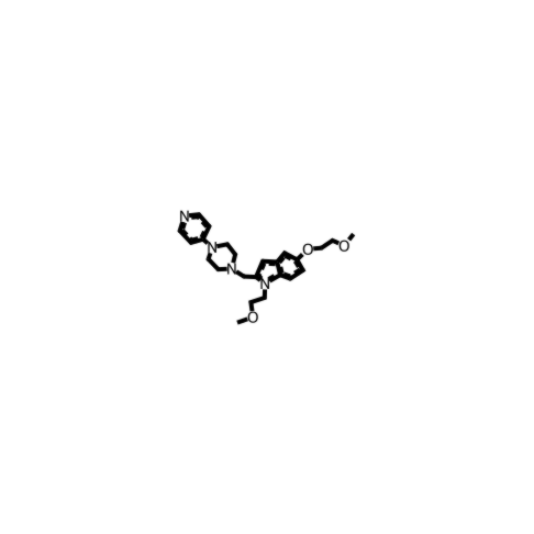 COCCOc1ccc2c(c1)cc(CN1CCN(c3ccncc3)CC1)n2CCOC